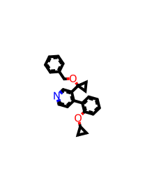 c1ccc(COC2(c3cnccc3-c3ccccc3OC3CC3)CC2)cc1